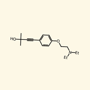 CCN(CC)CCOc1ccc(C#CC(C)(C)O)cc1